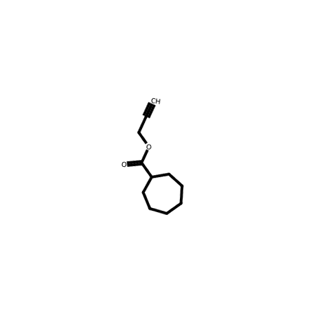 C#CCOC(=O)C1CCCCCC1